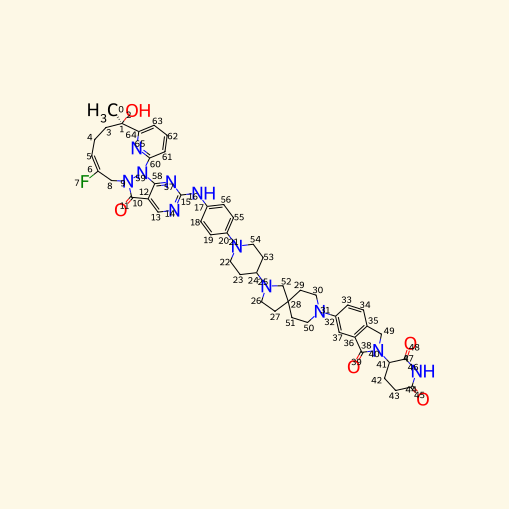 C[C@@]1(O)CCC=C(F)Cn2c(=O)c3cnc(Nc4ccc(N5CCC(N6CCC7(CCN(c8ccc9c(c8)C(=O)N(C8CCC(=O)NC8=O)C9)CC7)C6)CC5)cc4)nc3n2-c2cccc1n2